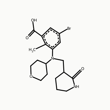 Cc1c(C(=O)O)cc(Br)cc1N(CC1CCCNC1=O)C1CCOCC1